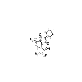 CC(C)C(C)C(O)C1C=CC(C)n2c(=O)n(-c3ccccc3)c(=O)n21